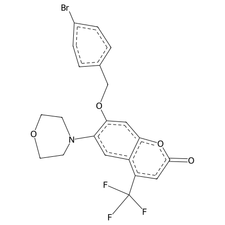 O=c1cc(C(F)(F)F)c2cc(N3CCOCC3)c(OCc3ccc(Br)cc3)cc2o1